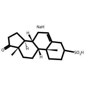 C[C@]12CCC(S(=O)(=O)O)CC1=CC[C@@H]1[C@H]2CC[C@]2(C)C(=O)CC[C@@H]12.[NaH]